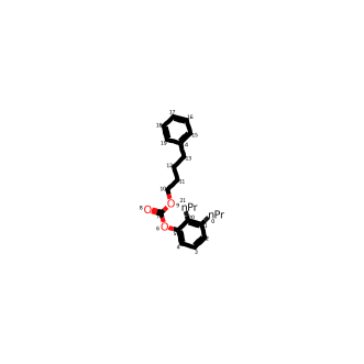 CCCc1cccc(OC(=O)OCCCCc2ccccc2)c1CCC